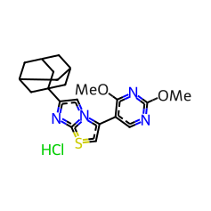 COc1ncc(-c2csc3nc(C45CC6CC(CC(C6)C4)C5)cn23)c(OC)n1.Cl